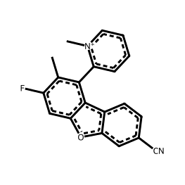 Cc1c(F)cc2oc3cc(C#N)ccc3c2c1-c1cccc[n+]1C